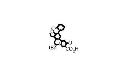 CC(C)(C)[C@@H]1Cc2c(cc(-c3ccccc3Cl)c3c2CCO3)-c2cc(=O)c(C(=O)O)cn21